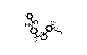 CCCOc1cc(C2=NN(C(=O)c3ccc(NC(=O)c4cccnc4)cc3)CCC2)ccc1OC